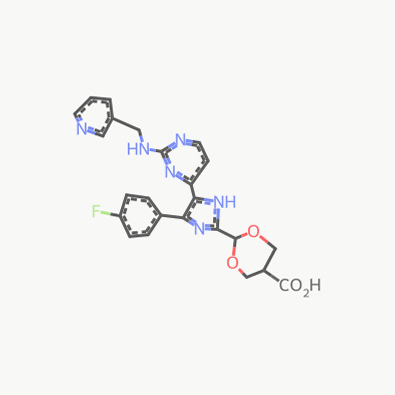 O=C(O)C1COC(c2nc(-c3ccc(F)cc3)c(-c3ccnc(NCc4cccnc4)n3)[nH]2)OC1